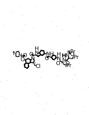 CCCC(=O)N[C@@H](CC(C)C)C(=O)N[C@@H](CC(C)C)C(=O)Nc1ccc(C(=O)Nc2ccc3[nH]c(C(=O)N4C[C@@H](CCl)c5c4cc(OC(=O)N4CCN(C)CC4)c4ccccc54)cc3c2)cc1